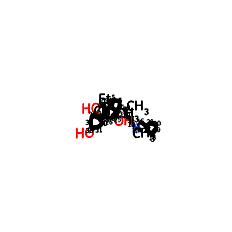 CC[C@@H](O)C1[C@@H]2CC[C@H](C(C)CCCN(C)Cc3ccccc3)[C@@]2(C)[C@@H](O)C[C@@H]1[C@]1(C)CC[C@H](O)CC1